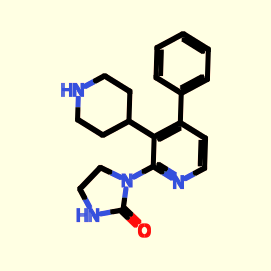 O=C1NCCN1c1nccc(-c2ccccc2)c1C1CCNCC1